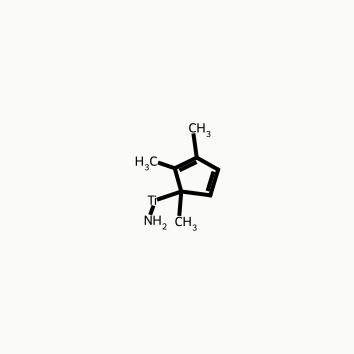 CC1=C(C)[C](C)([Ti][NH2])C=C1